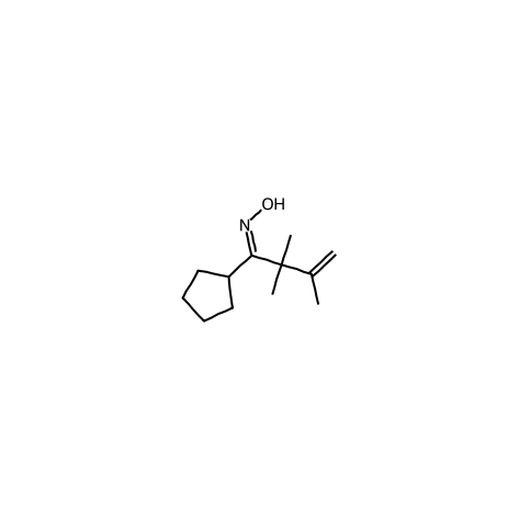 C=C(C)C(C)(C)C(=NO)C1CCCC1